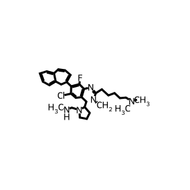 C=N/C(CCCCCN(C)C)=N\c1c(CC2CCCN2CNC)cc(Cl)c(C2=CC=Cc3ccccc3C2)c1F